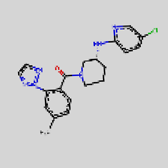 Cc1ccc(C(=O)N2CCC[C@@H](Nc3ccc(Cl)cn3)C2)c(-n2nccn2)c1